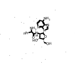 CCCC(N)C(=O)NC1[C@@H](O)[C@@H](CO)O[C@H]1n1cnc2c(N)ccnc21